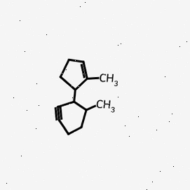 CC1=CCCC1C1C#CCCC1C